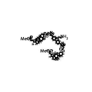 CCC[C@H]1C[C@H](OC(=O)Cn2cc(-c3ccc4c5ccc(-c6cn(CC(=O)O[C@@H]7CCC8(C)C9CCC%10(C)C([C@H](C)CCC(=O)OC)CC[C@H]%10[C@@H]9CC[C@@H]8C7)nn6)cc5n(CCN)c4c3)nn2)CCC1(C)C1CCC2(C)C([C@H](C)CCC(=O)OC)CC[C@H]2[C@@H]1C